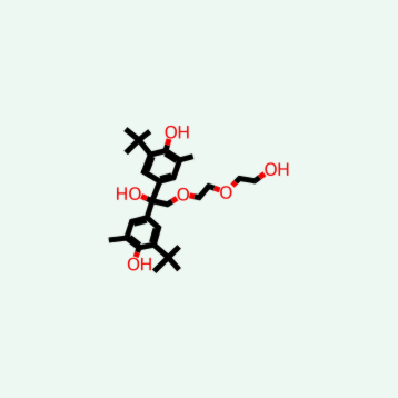 Cc1cc(C(O)(COCCOCCO)c2cc(C)c(O)c(C(C)(C)C)c2)cc(C(C)(C)C)c1O